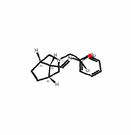 CC(C)(C)[S+]([O-])/N=C/[C@H]1[C@@H]2CC[C@H]1CN(Cc1ccccc1)C2